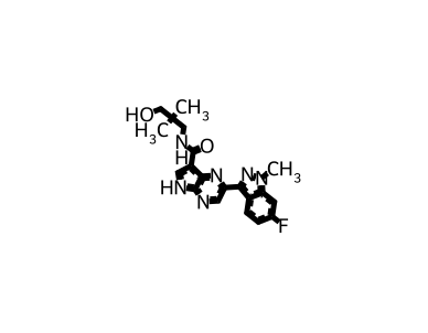 Cn1nc(-c2cnc3[nH]cc(C(=O)NCC(C)(C)CO)c3n2)c2ccc(F)cc21